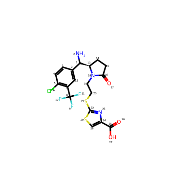 NC(c1ccc(Cl)c(C(F)(F)F)c1)[C@H]1CCC(=O)N1CCSc1nc(C(=O)O)cs1